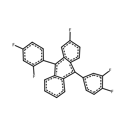 Fc1ccc(-c2c3ccccc3c(-c3ccc(F)c(F)c3)c3ccc(F)cc23)c(F)c1